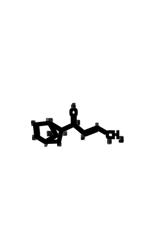 C/C=C/C(=O)C1CC2C=CC1C2